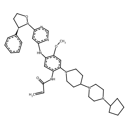 C=CC(=O)Nc1cc(Nc2cc(N3OCC[C@@H]3c3ccccc3)ncn2)c(OC)cc1N1CCC(N2CCN(C3CCCC3)CC2)CC1